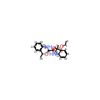 CCOC1(C(C)(C)C)C=CC=CC1NC(=O)C(=O)Nc1ccccc1CC